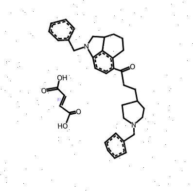 O=C(CCC1CCN(Cc2ccccc2)CC1)c1ccc2c3c1CCCC3CN2Cc1ccccc1.O=C(O)/C=C/C(=O)O